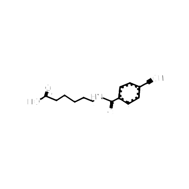 C#Cc1ccc(C(=O)NCCCCCC(=O)O)cc1